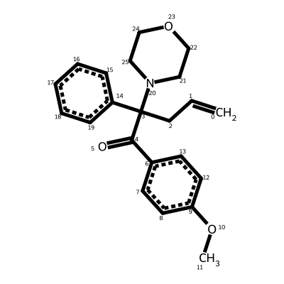 C=CCC(C(=O)c1ccc(OC)cc1)(c1ccccc1)N1CCOCC1